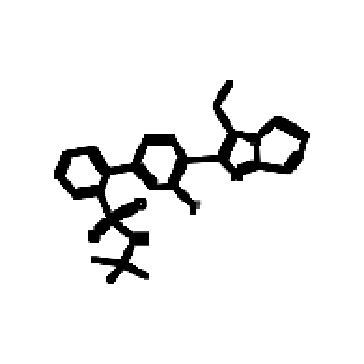 CCc1c(-c2ccc(-c3ccccc3S(=O)(=O)NC(C)(C)C)cc2F)nc2ccccn12